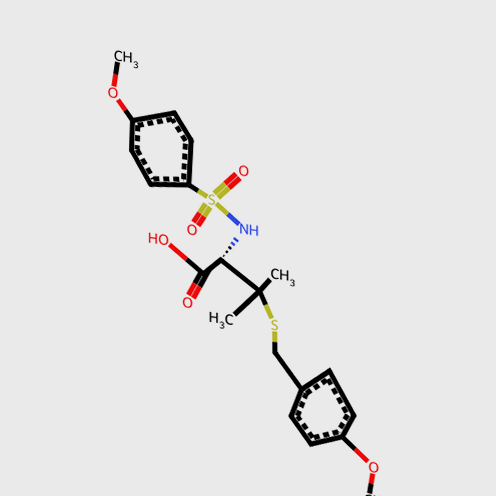 COc1ccc(CSC(C)(C)[C@@H](NS(=O)(=O)c2ccc(OC)cc2)C(=O)O)cc1